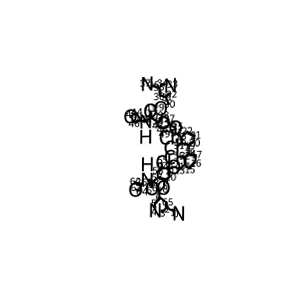 N#Cc1cncc(COc2cc(OCc3cccc(-c4cccc(COc5cc(OCc6cncc(C#N)c6)c(C(=O)NC6COC6)cc5Cl)c4Cl)c3Cl)c(Cl)cc2C(=O)NC2COC2)c1